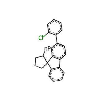 CCCC1CCCC12c1ccccc1-c1ccc(-c3ccccc3Cl)cc12